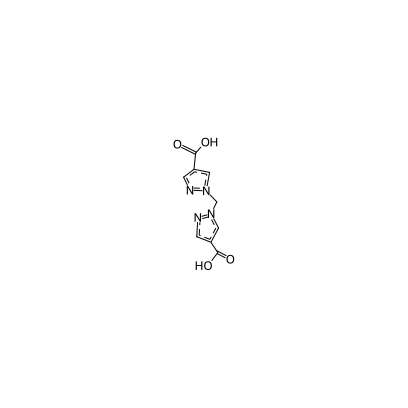 O=C(O)c1cnn(Cn2cc(C(=O)O)cn2)c1